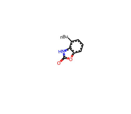 [CH2]CCCc1cccc2oc(=O)[nH]c12